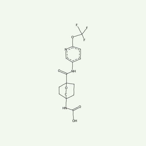 O=C(O)NC12CCC(C(=O)Nc3ccc(OC(F)(F)F)nc3)(CC1)OC2